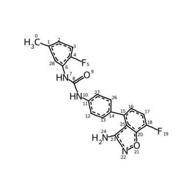 Cc1ccc(F)c(NC(=O)Nc2ccc(-c3ccc(F)c4onc(N)c34)cc2)c1